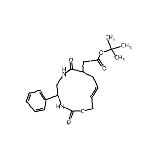 CC(C)(C)OC(=O)CC1C/C=C/CCC(=O)NC(c2ccccc2)CNC1=O